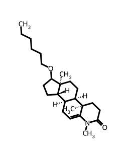 CCCCCCOC1CC[C@H]2[C@@H]3CC=C4N(C)C(=O)CC[C@]4(C)[C@@H]3CC[C@]12C